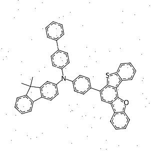 CC1(C)c2ccccc2-c2ccc(N(c3ccc(-c4ccccc4)cc3)c3ccc(-c4cc5c6ccccc6oc5c5c4sc4ccccc45)cc3)cc21